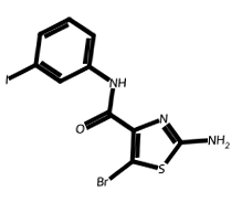 Nc1nc(C(=O)Nc2cccc(I)c2)c(Br)s1